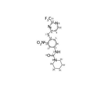 O=C(Nc1ccc(Sc2ccnc(C(F)(F)F)n2)c([N+](=O)[O-])c1)N1CCCCC1